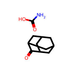 NC(=O)O.O=C1C2CC3CC(C2)CC1C3